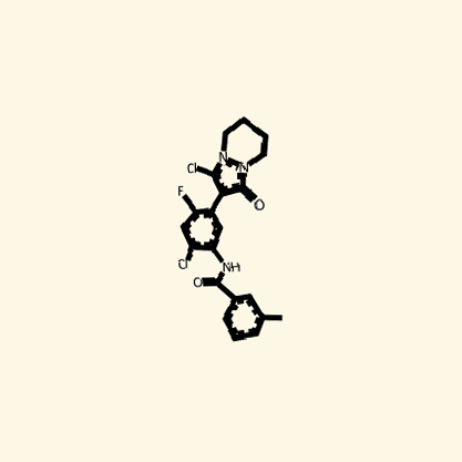 Cc1cccc(C(=O)Nc2cc(-c3c(Cl)n4n(c3=O)CCCC4)c(F)cc2Cl)c1